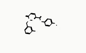 O=C(Nc1ccc(OC(F)(F)F)cc1)c1ccc(=O)n(Cc2cccc(Br)c2)n1